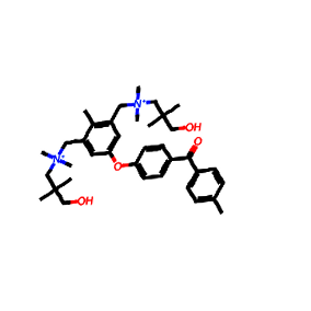 Cc1ccc(C(=O)c2ccc(Oc3cc(C[N+](C)(C)CC(C)(C)CO)c(C)c(C[N+](C)(C)CC(C)(C)CO)c3)cc2)cc1